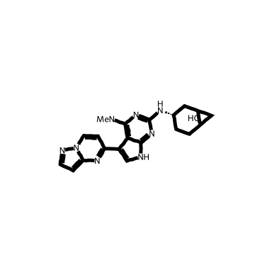 CNc1nc(N[C@H]2CC[C@]3(O)CC3C2)nc2[nH]cc(-c3ccn4nccc4n3)c12